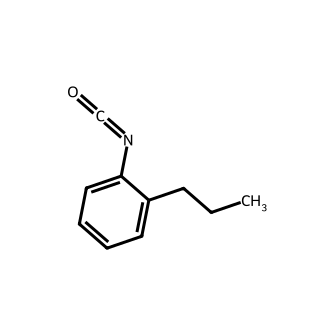 CCCc1ccccc1N=C=O